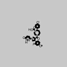 COc1ccc([C@@H]2CN(c3ccc(=O)[nH]n3)C[C@H]2C(=O)N2CCC[C@@H](c3ccc(Cl)cc3)N(C(=O)O)CC2)c(F)c1